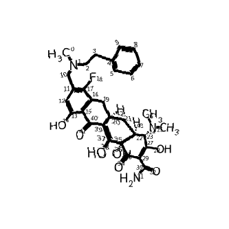 CN(CCc1ccccc1)Cc1cc(O)c2c(c1F)C[C@H]1C[C@H]3[C@H](N(C)C)C(O)=C(C(N)=O)C(=O)[C@@]3(O)C(O)=C1C2=O